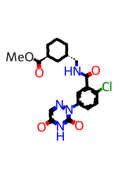 COC(=O)[C@H]1CCC[C@H](CNC(=O)c2cc(-n3ncc(=O)[nH]c3=O)ccc2Cl)C1